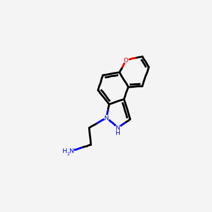 NCCN1NC=c2c1ccc1c2=CC=CO1